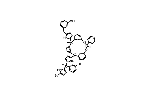 CCc1ccc([C@@](C)(c2cccc(O)c2)c2ccc([C@@]3(C)c4cccc(c4)OP(=O)(c4ccccc4)Oc4cccc(c4)[C@@](C)(c4ccc(Cc5cccc(O)c5)[nH]4)c4ccc3[nH]4)[nH]2)[nH]1